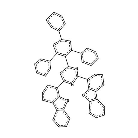 c1ccc(-c2cc(-c3ccccc3)c(-c3cc(-c4cccc5c4sc4ccccc45)nc(-c4cccc5c4oc4ccccc45)n3)c(-c3ccccc3)c2)cc1